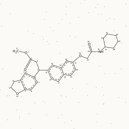 COC(=O)CC(c1ccc2c(c1)CCO2)c1ccc2ccc(OCC(=O)NC3CCCCC3)cc2c1